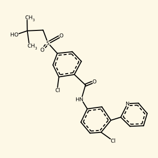 CC(C)(O)CS(=O)(=O)c1ccc(C(=O)Nc2ccc(Cl)c(-c3ccccn3)c2)c(Cl)c1